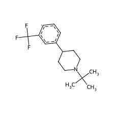 CC(C)(C)N1CCC(c2cc[c]c(C(F)(F)F)c2)CC1